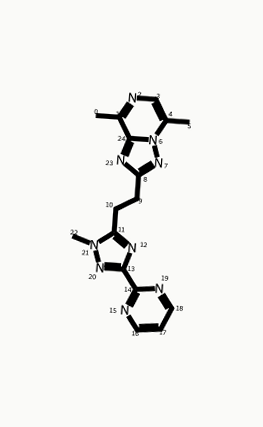 Cc1ncc(C)n2nc(CCc3nc(-c4ncccn4)nn3C)nc12